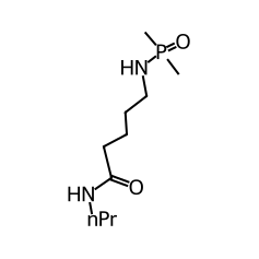 CCCNC(=O)CCCCNP(C)(C)=O